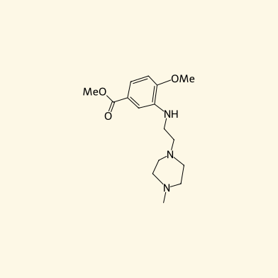 COC(=O)c1ccc(OC)c(NCCN2CCN(C)CC2)c1